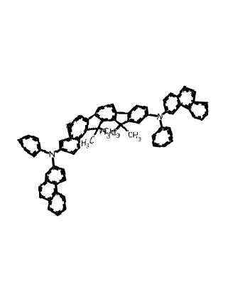 CC1(C)c2cc(N(c3ccccc3)c3ccc4ccc5ccccc5c4c3)ccc2-c2ccc3c(c21)C(C)(C)c1c-3ccc2cc(N(c3ccccc3)c3ccc4c(ccc5ccccc54)c3)ccc12